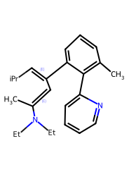 CCN(CC)/C(C)=C/C(=C\C(C)C)c1cccc(C)c1-c1ccccn1